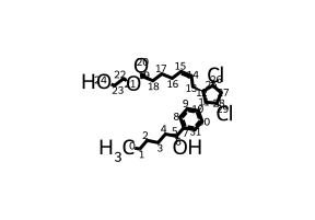 CCCCCC(O)c1ccc([C@@H]2[C@@H](C/C=C\CCCC(=O)OCCO)[C@H](Cl)C[C@@H]2Cl)cc1